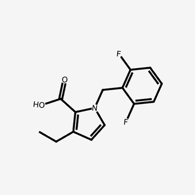 CCc1ccn(Cc2c(F)cccc2F)c1C(=O)O